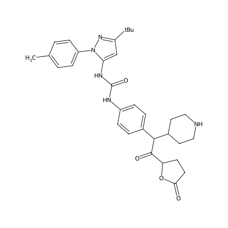 Cc1ccc(-n2nc(C(C)(C)C)cc2NC(=O)Nc2ccc(C(C(=O)C3CCC(=O)O3)C3CCNCC3)cc2)cc1